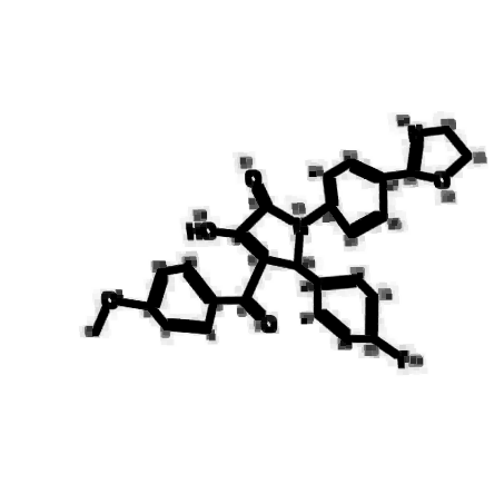 COc1ccc(C(=O)C2=C(O)C(=O)N(c3ccc(C4=NCCO4)cc3)C2c2ccc(F)cc2)cc1